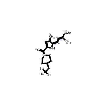 CCC(O)(CC)CC1CCN(C(=O)C2=CC(C)/C(=C\C=C(/C)OC)N2)CC1